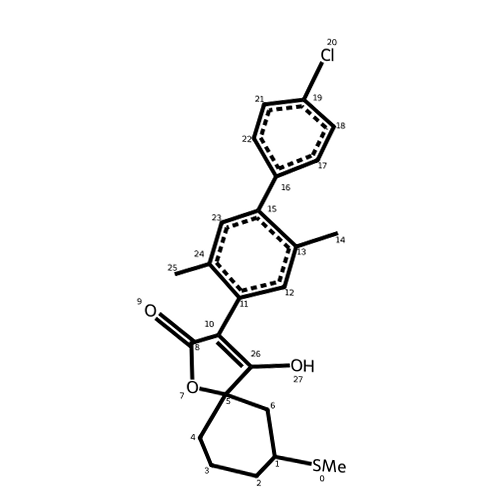 CSC1CCCC2(C1)OC(=O)C(c1cc(C)c(-c3ccc(Cl)cc3)cc1C)=C2O